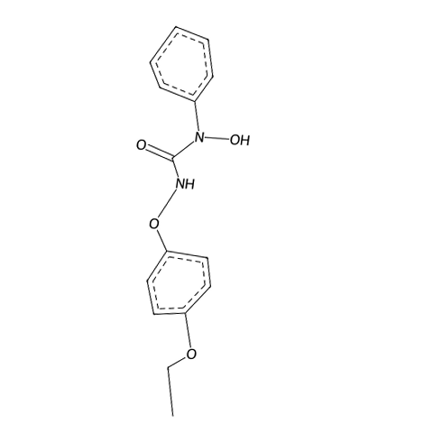 CCOc1ccc(ONC(=O)N(O)c2ccccc2)cc1